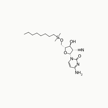 CCCCCCCC[Si](C)(C)OC[C@H]1O[C@@H](n2ccc(N)nc2=O)[C@@H](C#N)[C@@H]1O